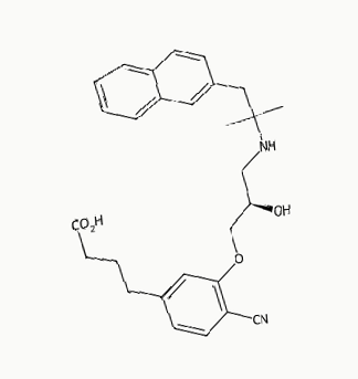 CC(C)(Cc1ccc2ccccc2c1)NC[C@@H](O)COc1cc(CCCC(=O)O)ccc1C#N